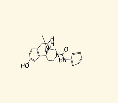 CN1CCC[C@]23CCN(C(=O)Nc4ccccc4)C[C@H]2[C@H]1Cc1ccc(O)cc13